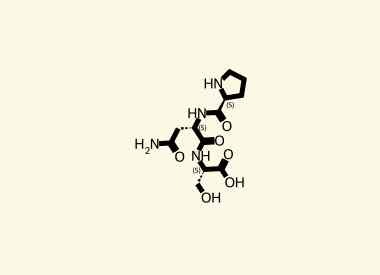 NC(=O)C[C@H](NC(=O)[C@@H]1CCCN1)C(=O)N[C@@H](CO)C(=O)O